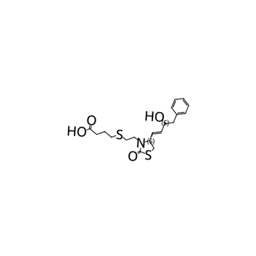 O=C(O)CCCSCCN1C(=O)SC[C@@H]1C=C[C@@H](O)Cc1ccccc1